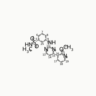 CNS(=O)(=O)c1cccc(Nc2nccc(-c3cccnc3OC)n2)c1